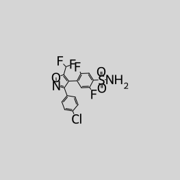 NS(=O)(=O)c1cc(F)c(-c2c(-c3ccc(Cl)cc3)noc2C(F)F)cc1F